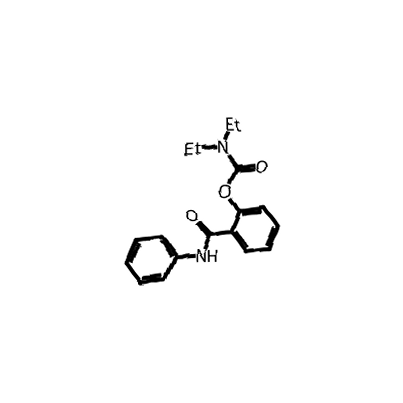 CCN(CC)C(=O)Oc1ccccc1C(=O)Nc1ccccc1